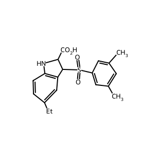 CCc1ccc2c(c1)C(S(=O)(=O)c1cc(C)cc(C)c1)C(C(=O)O)N2